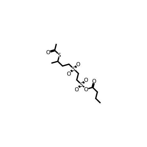 CCCC(=O)OS(=O)(=O)CCS(=O)(=O)CCC(C)SC(C)=O